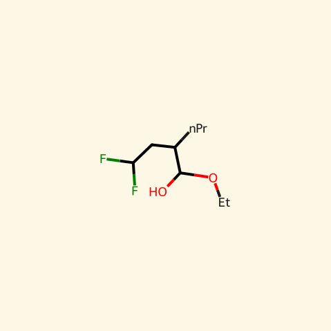 CCCC(CC(F)F)C(O)OCC